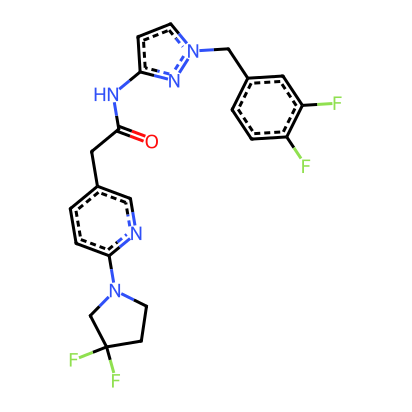 O=C(Cc1ccc(N2CCC(F)(F)C2)nc1)Nc1ccn(Cc2ccc(F)c(F)c2)n1